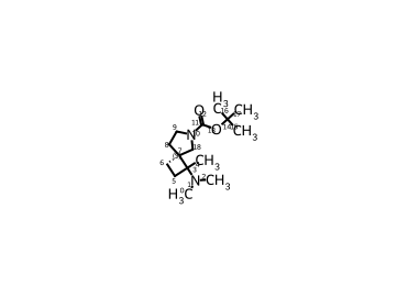 CN(C)C1(C)CC[C@@]12CCN(C(=O)OC(C)(C)C)C2